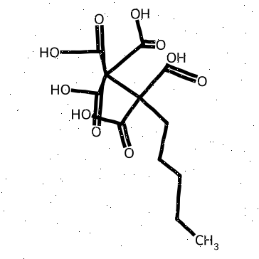 CCCCCC(C(=O)O)(C(=O)O)C(C(=O)O)(C(=O)O)C(=O)O